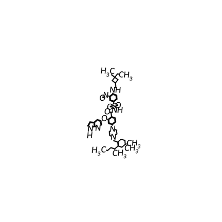 CCCC(C)C1=C(CN2CCN(c3ccc(C(=O)NS(=O)(=O)c4ccc(NCC5CC(CC)(CC)C5)c(N=O)c4)c(Oc4cnc5[nH]ccc5c4)c3)CC2)CCC(C)(C)C1